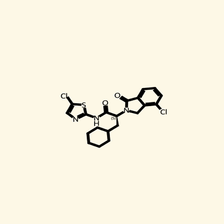 O=C(Nc1ncc(Cl)s1)[C@H](CC1CCCCC1)N1Cc2c(Cl)cccc2C1=O